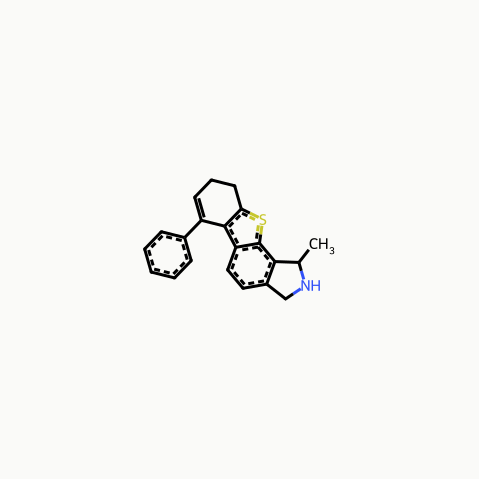 CC1NCc2ccc3c4c(sc3c21)CCC=C4c1ccccc1